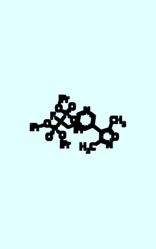 Cc1noc(C)c1-c1cncc(CC(F)(P(=O)(OC(C)C)OC(C)C)P(=O)(OC(C)C)OC(C)C)c1